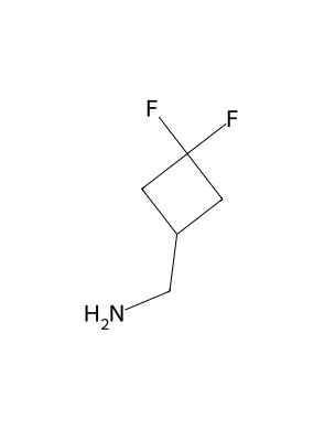 NCC1CC(F)(F)C1